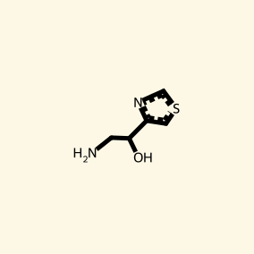 NCC(O)c1cscn1